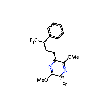 COC1=N[C@H](C(C)C)C(OC)=N[C@H]1CCC(c1ccccc1)C(F)(F)F